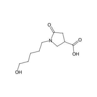 O=C(O)C1CC(=O)N(CCCCCO)C1